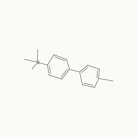 Cc1ccc(-c2ccc([Si](C)(C)C)cc2)cc1